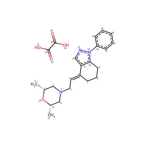 C[C@@H]1CN(C/C=C2\CCCc3c2cnn3-c2ccccc2)C[C@H](C)O1.O=C(O)C(=O)O